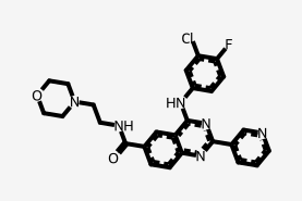 O=C(NCCN1CCOCC1)c1ccc2nc(-c3cccnc3)nc(Nc3ccc(F)c(Cl)c3)c2c1